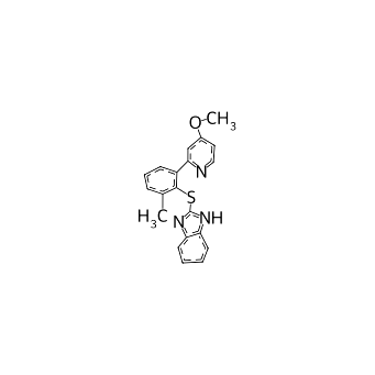 COc1ccnc(-c2cccc(C)c2Sc2nc3ccccc3[nH]2)c1